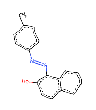 Cc1ccc(N=Nc2c(O)ccc3ccccc23)cc1